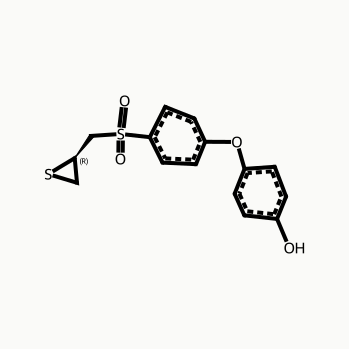 O=S(=O)(C[C@H]1CS1)c1ccc(Oc2ccc(O)cc2)cc1